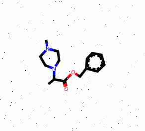 CC(C(=O)OCc1ccccc1)N1CCN(C)CC1